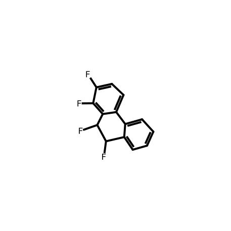 Fc1ccc2c(c1F)C(F)C(F)c1ccccc1-2